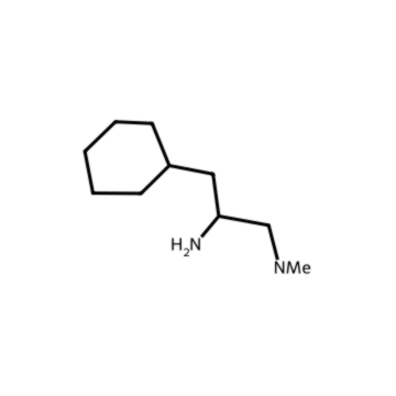 CNCC(N)CC1CCCCC1